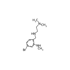 CNc1cc(Br)ccc1CNCCN(C)C